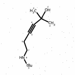 CC(C)(O)C#CCCNC(C)(C)C